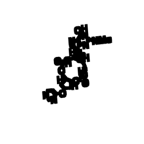 CNc1nc2c(ncn2[C@@H]2OC3CO[PH](=O)O[C@H]4C[C@H](Oc5ccncn5)C[C@@H]4CO[PH](=O)O[C@@H]2[C@@H]3O)c(=O)[nH]1